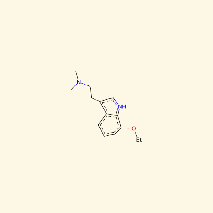 CCOc1cccc2c(CCN(C)C)c[nH]c12